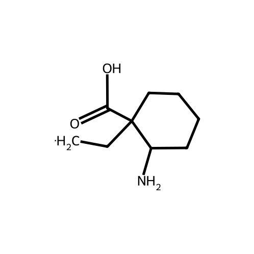 [CH2]CC1(C(=O)O)CCCCC1N